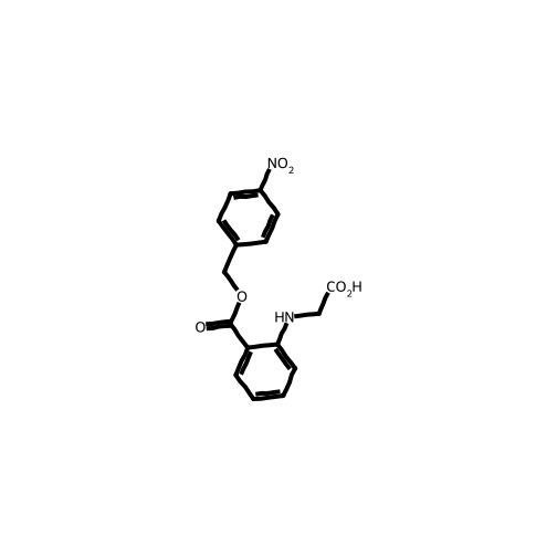 O=C(O)CNc1ccccc1C(=O)OCc1ccc([N+](=O)[O-])cc1